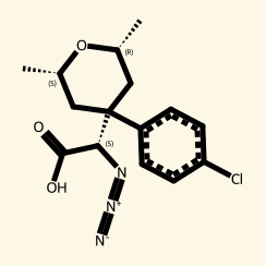 C[C@@H]1CC(c2ccc(Cl)cc2)([C@H](N=[N+]=[N-])C(=O)O)C[C@H](C)O1